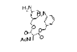 CC(=O)NC(C(=O)OCc1cccc(N)c1)C(=O)OCc1cccc(N)c1